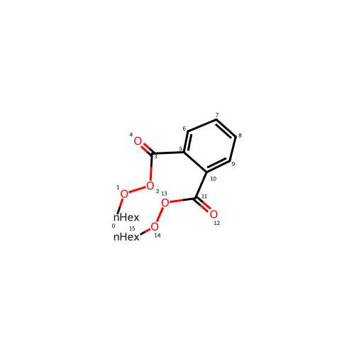 CCCCCCOOC(=O)c1ccccc1C(=O)OOCCCCCC